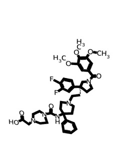 COc1cc(C(=O)N2CC[C@@](CCN3CCC(NC(=O)N4CCN(CC(=O)O)CC4)(c4ccccc4)CC3)(c3ccc(F)c(F)c3)C2)cc(OC)c1OC